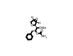 COC([C@H](Cc1ccccc1)OC(N)=O)[C@H]1OC[C@@H]2O[C@@H]21